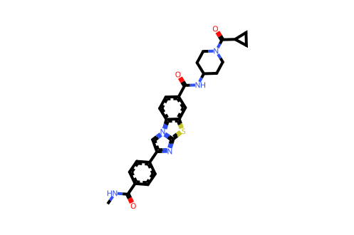 CNC(=O)c1ccc(-c2cn3c(n2)sc2cc(C(=O)NC4CCN(C(=O)C5CC5)CC4)ccc23)cc1